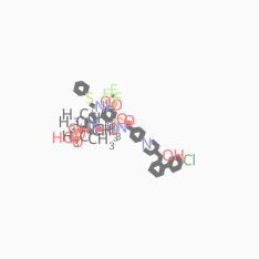 CN(CC[C@H](CSc1ccccc1)Nc1ccc(S(=O)(=O)NC(=O)c2ccc(N3CCC([C@@H](O)c4ccccc4-c4ccc(Cl)cc4)CC3)cc2)cc1S(=O)(=O)C(F)(F)F)C(COP(=O)(O)O)(C(C)(C)C)C(C)(C)C